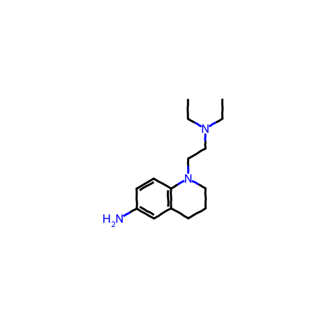 CCN(CC)CCN1CCCc2cc(N)ccc21